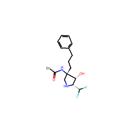 CCC(=O)N[C@@]1(CCCc2ccccc2)CN[C@@H](C(F)F)[C@H]1O